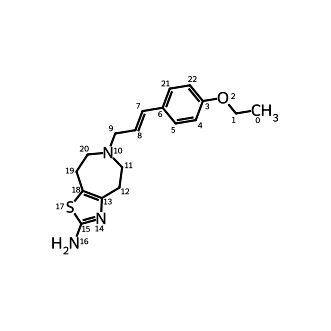 CCOc1ccc(/C=C/CN2CCc3nc(N)sc3CC2)cc1